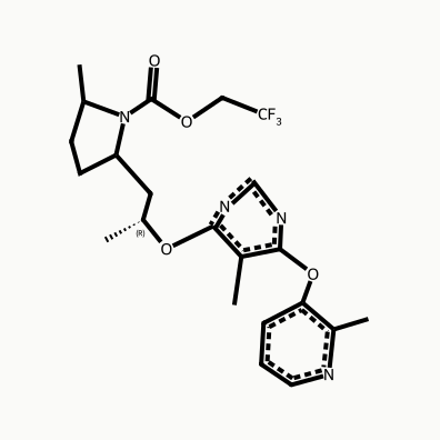 Cc1ncccc1Oc1ncnc(O[C@H](C)CC2CCC(C)N2C(=O)OCC(F)(F)F)c1C